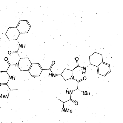 CN[C@@H](C)C(=O)N[C@H](C(=O)N1Cc2ccc(C(=O)N[C@H]3C[C@@H](C(=O)N[C@@H]4CCCc5ccccc54)N(C(=O)[C@@H](NC(=O)[C@H](C)NC)C(C)(C)C)C3)cc2C[C@H]1C(=O)N[C@@H]1CCCc2ccccc21)C(C)(C)C